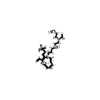 C=C/C1=C(\C=C\C(F)(F)F)N(CCCNCCN(CC)CCO)/C=C/C=C\C=C\S1